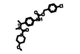 COC1CCN(C(=O)N(C)[C@@H](C)c2ccc(NC(=O)OCc3ccc(Cl)cc3)cc2)CC1